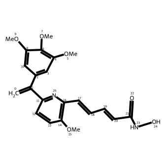 C=C(c1cc(OC)c(OC)c(OC)c1)c1ccc(OC)c(/C=C/C=C/C(=O)NO)n1